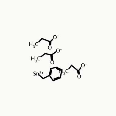 CCC(=O)[O-].CCC(=O)[O-].CCC(=O)[O-].[Sn+3][CH2]c1ccccc1